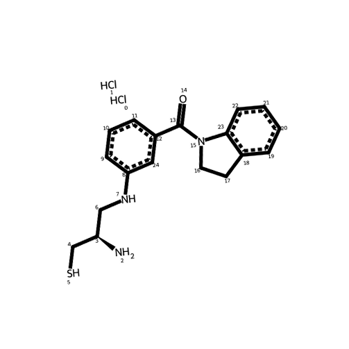 Cl.Cl.N[C@@H](CS)CNc1cccc(C(=O)N2CCc3ccccc32)c1